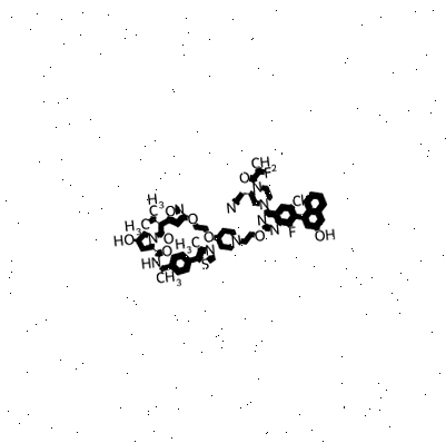 C=C(F)C(=O)N1CCN(c2nc(OCCN3CCC(OCCOc4cc([C@H](C(=O)N5C[C@H](O)C[C@H]5C(=O)N[C@@H](C)c5ccc(-c6scnc6C)cc5)C(C)C)on4)CC3)nc3c(F)c(-c4cc(O)cc5ccccc45)c(Cl)cc23)C[C@@H]1CC#N